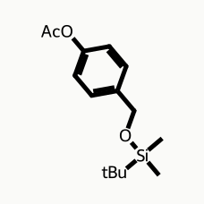 CC(=O)Oc1ccc(CO[Si](C)(C)C(C)(C)C)cc1